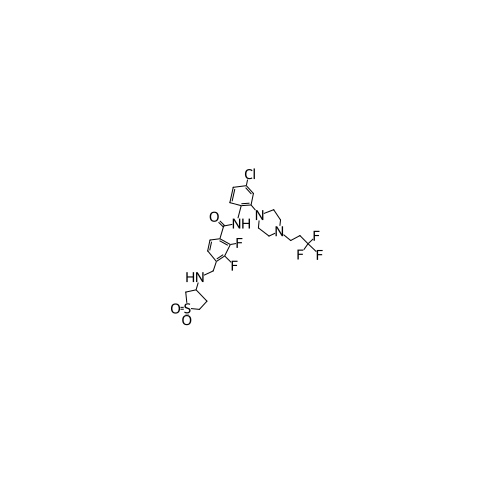 O=C(Nc1ccc(Cl)cc1N1CCN(CCC(F)(F)F)CC1)c1ccc(CNC2CCS(=O)(=O)C2)c(F)c1F